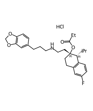 CCC(=O)O[C@@]1(CCNCCCc2ccc3c(c2)OCO3)CCc2cc(F)ccc2[C@H]1C(C)C.Cl